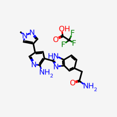 Cn1cc(-c2cnc(N)c(-c3nc4cc(CC(N)=O)ccc4[nH]3)c2)cn1.O=C(O)C(F)(F)F